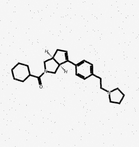 O=C(C1CCCCC1)N1C[C@H]2CC=C(c3ccc(CCN4CCCC4)cc3)[C@H]2C1